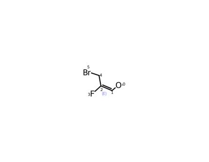 [O]/C=C(/F)CBr